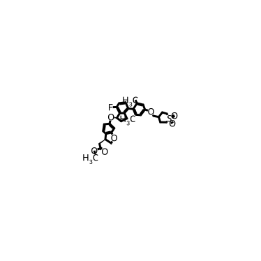 COC(=O)C[C@@H]1COc2cc(O[C@@H]3CCc4c(-c5c(C)cc(OCC6CCS(=O)(=O)CC6)cc5C)ccc(F)c43)ccc21